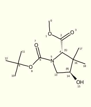 COC(=O)[C@H]1N(C(=O)OC(C)(C)C)C[C@H](O)C1(C)C